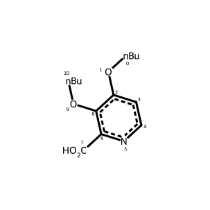 CCCCOc1ccnc(C(=O)O)c1OCCCC